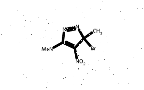 CNC1=C([N+](=O)[O-])C(C)(Br)N=N1